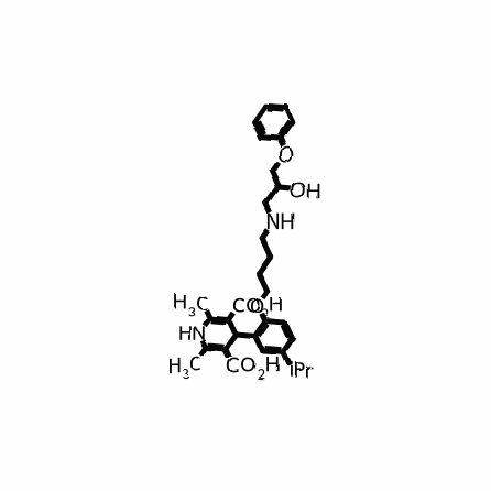 CC1=C(C(=O)O)C(c2cc(C(C)C)ccc2OCCCCNCC(O)COc2ccccc2)C(C(=O)O)=C(C)N1